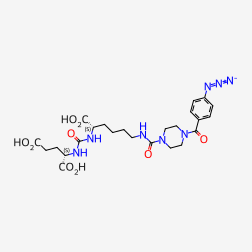 [N-]=[N+]=Nc1ccc(C(=O)N2CCN(C(=O)NCCCC[C@H](NC(=O)N[C@@H](CCC(=O)O)C(=O)O)C(=O)O)CC2)cc1